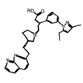 CCc1cc(C)nn1-c1cccc(C(CC(=O)O)CN2CCC(CCc3ccc4cccnc4n3)C2)c1